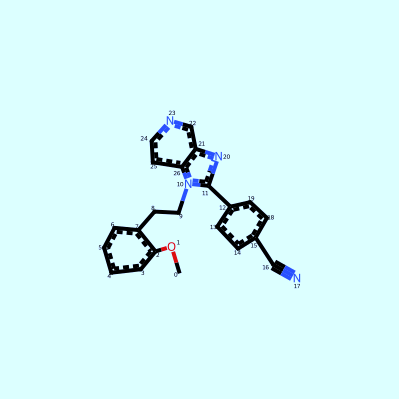 COc1ccccc1CCn1c(-c2ccc(C#N)cc2)nc2cnccc21